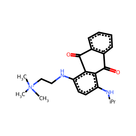 CC(C)Nc1ccc(NCC[N+](C)(C)C)c2c1C(=O)c1ccccc1C2=O